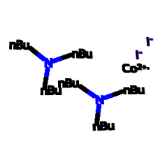 CCCCN(CCCC)CCCC.CCCCN(CCCC)CCCC.[Co+2].[I-].[I-]